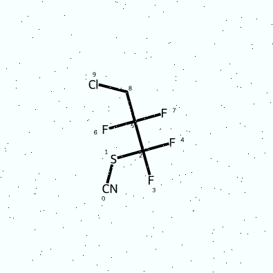 N#CSC(F)(F)C(F)(F)CCl